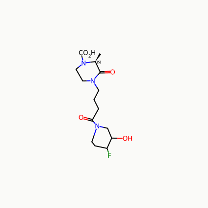 C[C@H]1C(=O)N(CCCC(=O)N2CCC(F)C(O)C2)CCN1C(=O)O